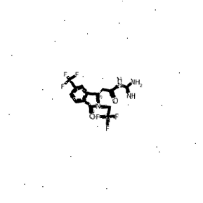 N=C(N)NC(=O)C[C@@H]1c2cc(C(F)(F)F)ccc2C(=O)N1CC(F)(F)F